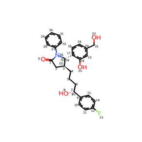 O=C1C[C@H](CCC[C@@H](O)c2ccc(F)cc2)[C@@H](c2ccc(CO)cc2O)N1c1ccccc1